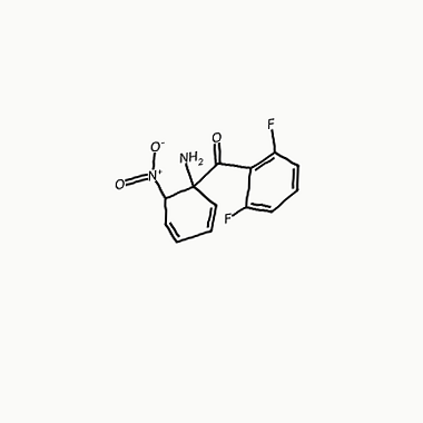 NC1(C(=O)c2c(F)cccc2F)C=CC=CC1[N+](=O)[O-]